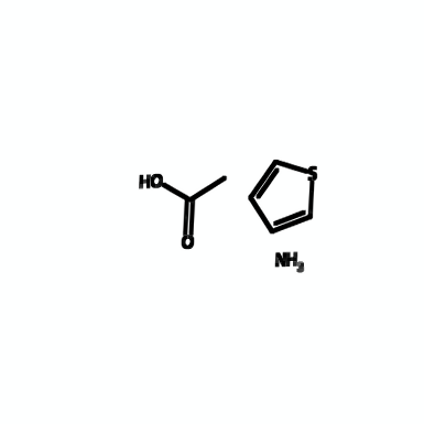 CC(=O)O.N.c1ccsc1